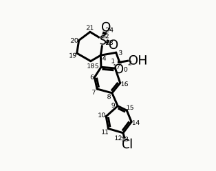 O=C(O)CC1(c2ccc(-c3ccc(Cl)cc3)cc2)CCCCS1(=O)=O